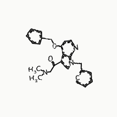 CN(C)CC(=O)c1cn(Cc2ccccc2)c2nccc(OCc3ccccc3)c12